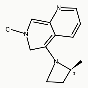 C[C@H]1CCN1C1=c2cccnc2=CN(Cl)C1